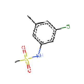 Cc1cc(Cl)cc(NS(C)(=O)=O)c1